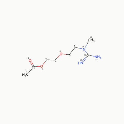 CC(=O)OCCOCCN(C)C(=N)N